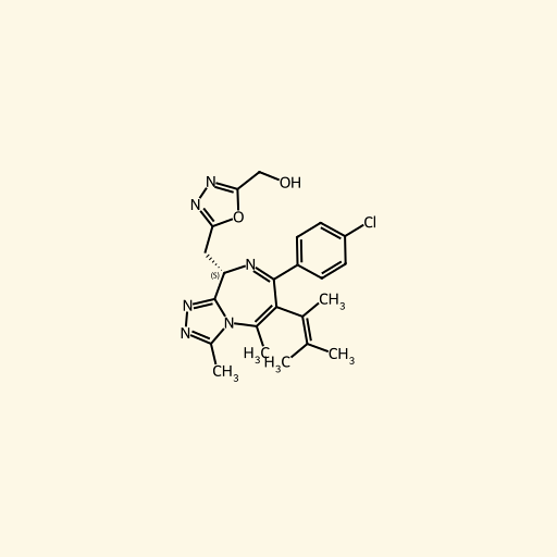 CC(C)=C(C)C1=C(C)n2c(C)nnc2[C@H](Cc2nnc(CO)o2)N=C1c1ccc(Cl)cc1